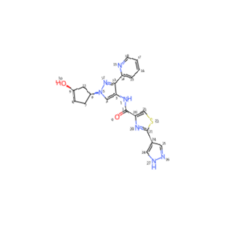 O=C(Nc1cn([C@H]2CC[C@@H](O)C2)nc1-c1ccccn1)c1csc(-c2cn[nH]c2)n1